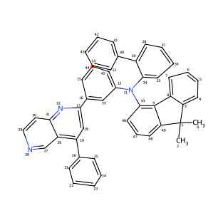 CC1(C)c2ccccc2-c2c(N(c3cccc(-c4cc(-c5ccccc5)c5cnccc5n4)c3)c3ccccc3-c3ccccc3)cccc21